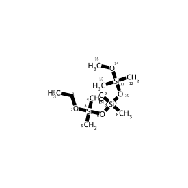 CCO[Si](C)(C)O[Si](C)(C)O[Si](C)(C)OC